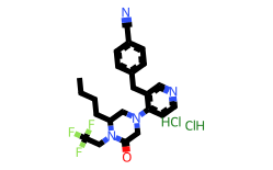 CCCCC1CN(c2ccncc2Cc2ccc(C#N)cc2)CC(=O)N1CC(F)(F)F.Cl.Cl